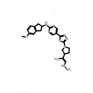 COc1ccc2c(c1)CC(Nc1ncc(-c3nnc(N4CCC(/C(N)=C/NN)C4)o3)cn1)C2